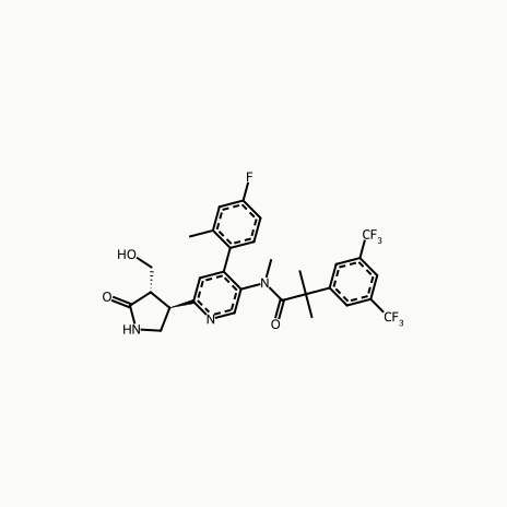 Cc1cc(F)ccc1-c1cc([C@H]2CNC(=O)[C@@H]2CO)ncc1N(C)C(=O)C(C)(C)c1cc(C(F)(F)F)cc(C(F)(F)F)c1